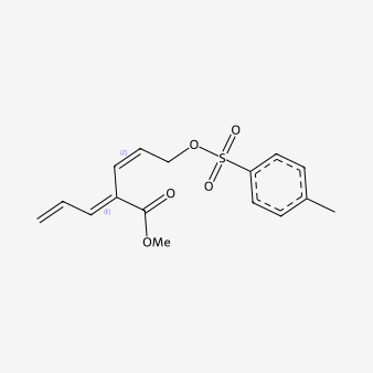 C=C/C=C(\C=C/COS(=O)(=O)c1ccc(C)cc1)C(=O)OC